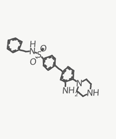 Nc1cc(-c2ccc(S(=O)(=O)NCc3ccccc3)cc2)ccc1N1CCNCC1